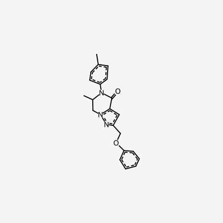 Cc1ccc(N2C(=O)c3cc(COc4ccccc4)nn3CC2C)cc1